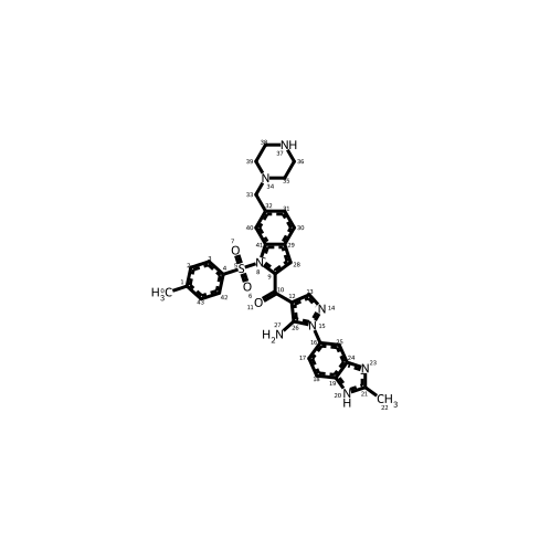 Cc1ccc(S(=O)(=O)n2c(C(=O)c3cnn(-c4ccc5[nH]c(C)nc5c4)c3N)cc3ccc(CN4CCNCC4)cc32)cc1